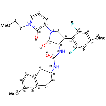 COCCn1cccc(N2C[C@@H](c3c(F)cc(OC)cc3F)[C@H](NC(=O)NC3CCc4cc(OC)ccc4C3)C2=O)c1=O